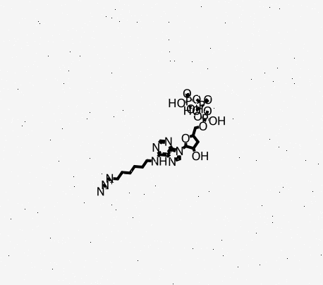 [N-]=[N+]=NCCCCCCNc1ncnc2c1ncn2C1OC(COP(=O)(O)OP(=O)(O)OP(=O)(O)O)CC1O